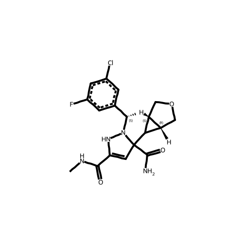 CNC(=O)C1=CC(C(N)=O)(C2[C@H]3COC[C@@H]23)N([C@@H](C)c2cc(F)cc(Cl)c2)N1